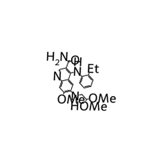 CCc1ccccc1Nc1c(C(N)=O)cnc2cc(OC)c(NCC(OC)OC)cc12